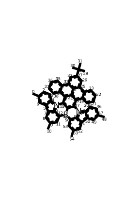 Cc1ccc2c(c1)c1cc(C)cc3c1n2-c1c2c(c4c5ccccc5c5cc(C(C)(C)C)cc6c7ccccc7c1c4c65)-n1c4ccc(C)cc4c4cc(C)cc(c41)B23